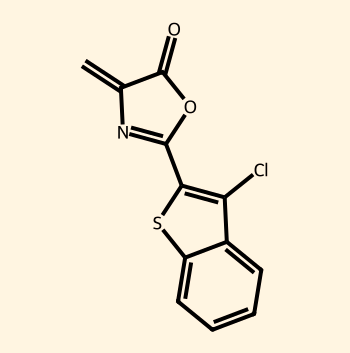 C=C1N=C(c2sc3ccccc3c2Cl)OC1=O